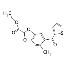 CCOC(=O)C1Oc2cc(C)c(C(=O)c3cccs3)cc2O1